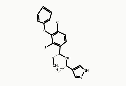 CC[C@@H](N[C@@H](C)c1cn[nH]c1)c1ccc(Cl)c(Oc2ccccc2)c1F